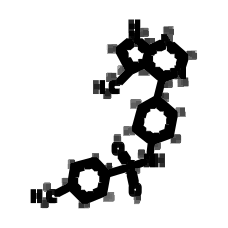 Cc1ccc(S(=O)(=O)Nc2ccc(-c3ncnc4[nH]cc(C)c34)cc2)cc1